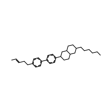 CC=CCCc1ccc(-c2ccc(C3CCC4CC(CCCCCC)CCC4C3)cc2)cc1